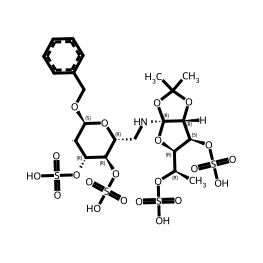 C[C@@H](OS(=O)(=O)O)[C@H]1O[C@@]2(NC[C@H]3O[C@H](OCc4ccccc4)[CH][C@@H](OS(=O)(=O)O)[C@@H]3OS(=O)(=O)O)OC(C)(C)O[C@@H]2[C@H]1OS(=O)(=O)O